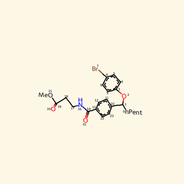 CCCCCC(Oc1ccc(Br)cc1)c1ccc(C(=O)NCCC(=O)OC)cc1